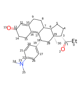 CCC(=O)[C@H]1CCC2C3CCC4=CC(=O)CCC4=C3[C@@H](c3ccc(N(C)C)cc3)C[C@@]21C